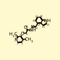 Cc1ccnc(C)c1OCC(=O)N/N=C/c1cccc2[nH]ccc12